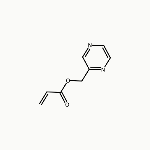 C=CC(=O)OCc1cnccn1